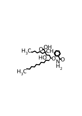 CCCCCCCCCCC[C@@H](C[C@H](O)[C@](C)(CCCCCC)C(=O)O)Oc1ccccc1C(N)=O